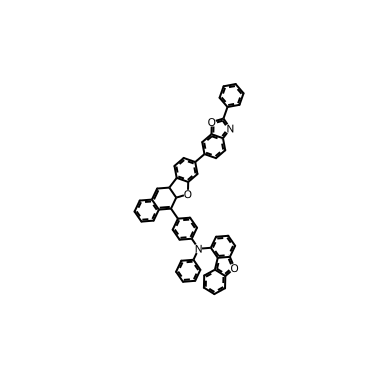 C1=c2ccccc2=C(c2ccc(N(c3ccccc3)c3cccc4oc5ccccc5c34)cc2)C2Oc3cc(-c4ccc5nc(-c6ccccc6)oc5c4)ccc3C12